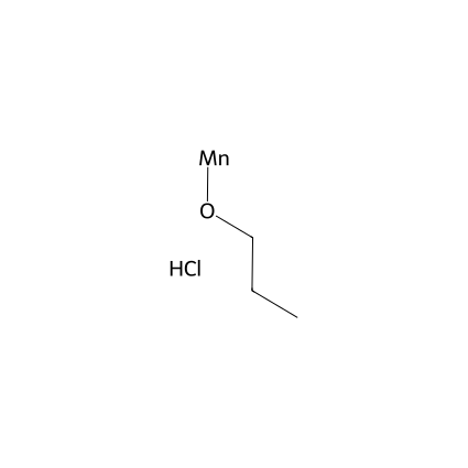 CCC[O][Mn].Cl